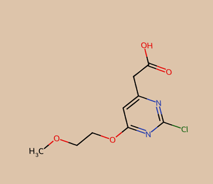 COCCOc1cc(CC(=O)O)nc(Cl)n1